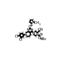 CN1CCC[C@H]1COc1nc2c(c(N3CCN(C(=O)OC(C)(C)C)C(CC#N)C3)n1)CCCN(c1ccc(Cl)c(Cl)c1)C2